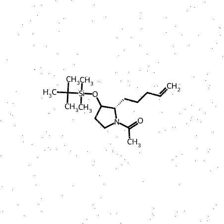 C=CCCC[C@H]1C(O[Si](C)(C)C(C)(C)C)CCN1C(C)=O